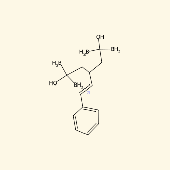 BC(B)(O)CC(/C=C/c1ccccc1)CC(B)(B)O